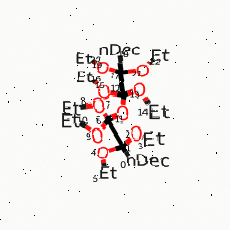 CCCCCCCCCCC(OCC)(OCC)C(OCC)(OCC)OC(OCC)(OCC)C(CCCCCCCCCC)(OCC)OCC